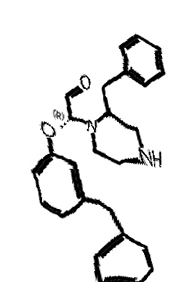 O=C[C@@H](Oc1cccc(Cc2ccccc2)c1)N1CCNCC1Cc1ccccc1